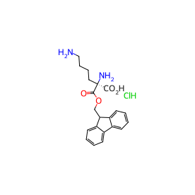 Cl.NCCCC[C@](N)(C(=O)O)C(=O)OCC1c2ccccc2-c2ccccc21